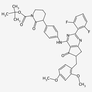 COc1ccc(CC2Cc3nc(-c4c(F)cccc4F)nc(Nc4ccc(C5CCCN(C(=O)OC(C)(C)C)C5=O)cc4)c3C2=O)c(OC)c1